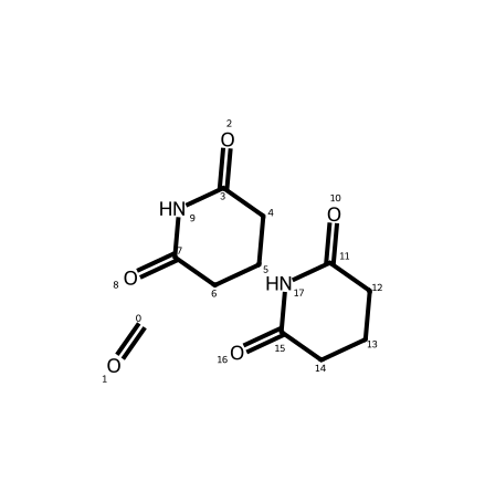 C=O.O=C1CCCC(=O)N1.O=C1CCCC(=O)N1